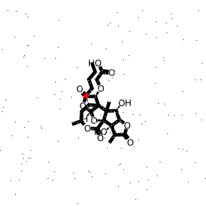 CCCCC[C@H]1CC(C)OC(=O)[C@]23O[C@H]4OC(=O)[C@@H](OCC(=O)O)C14C2(C)[C@H](O)C1OC(=O)C(C)[C@]13O